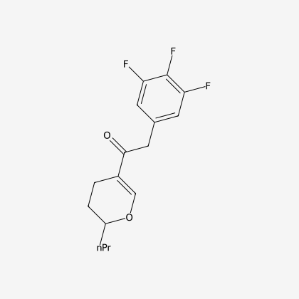 CCCC1CCC(C(=O)Cc2cc(F)c(F)c(F)c2)=CO1